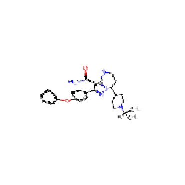 CCC(C)(C)N1CCC([C@@H]2CCNc3c(C(N)=O)c(-c4ccc(Oc5ccccc5)cc4)nn32)CC1